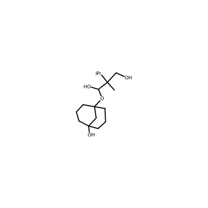 CC(C)C(C)(CO)C(O)OC12CCCC(O)(CCC1)C2